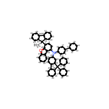 CC1(c2ccc(N(c3ccc(-c4ccccc4)cc3)c3ccc4c(c3)C(c3ccccc3)(c3ccccc3)c3ccccc3-4)c3c2oc2ccccc23)c2ccccc2-c2ccccc21